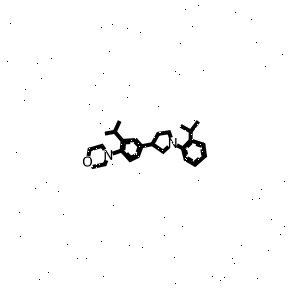 CC(C)c1cc(C2CCN(c3ccccc3C(C)C)C2)ccc1N1CCOCC1